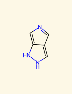 c1ncc2[nH][nH]cc1-2